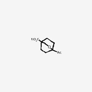 CC(=O)C12CCC(C(=O)O)(CC1)CO2